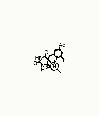 CC(=O)c1cc(F)c2c(c1)CC1(C(=O)NC(=O)NC1=O)[C@H]1[C@H](C)C[C@H](C)CN21